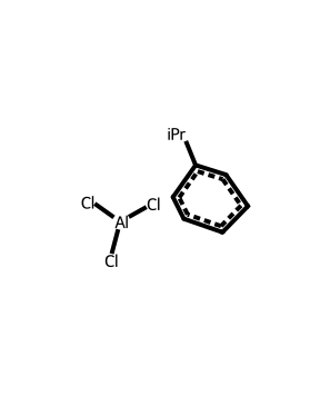 CC(C)c1ccccc1.[Cl][Al]([Cl])[Cl]